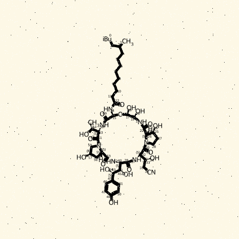 CCC(C)CC(C)CCCCCCCCC(=O)N[C@H]1C[C@@H](O)[C@@H](O)NC(=O)[C@@H]2[C@@H](O)CCN2C(=O)[C@H]([C@H](O)CC#N)NC(=O)[C@H]([C@H](O)[C@@H](O)c2ccc(O)cc2)NC(=O)[C@@H]2C[C@@H](O)CN2C(=O)[C@H]([C@@H](C)O)NC1=O